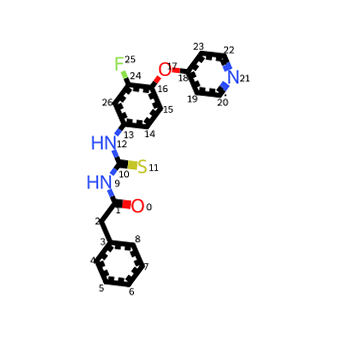 O=C(Cc1ccccc1)NC(=S)Nc1ccc(Oc2c[c]ncc2)c(F)c1